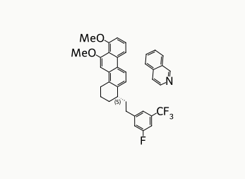 COc1cccc2c1c(OC)cc1c3c(ccc12)[C@H](CCc1cc(F)cc(C(F)(F)F)c1)CCC3.c1ccc2cnccc2c1